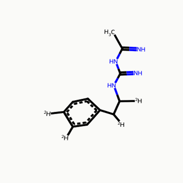 [2H]c1ccc(C([2H])C([2H])NC(=N)NC(C)=N)cc1[2H]